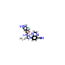 C[C@@H]1CN(c2ccc(C#N)c3nccnc23)C[C@@H]1NC(=O)CC1(CF)CCNCC1